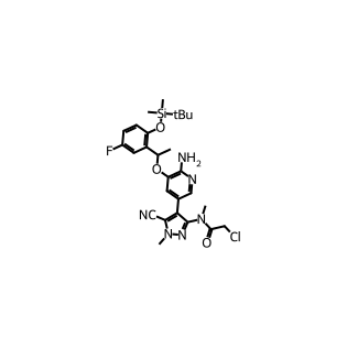 CC(Oc1cc(-c2c(N(C)C(=O)CCl)nn(C)c2C#N)cnc1N)c1cc(F)ccc1O[Si](C)(C)C(C)(C)C